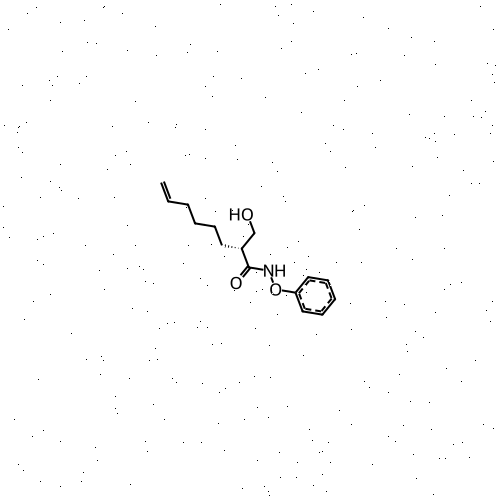 C=CCCCC[C@H](CO)C(=O)NOc1ccccc1